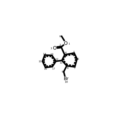 COC(=O)c1cccc(CBr)c1-c1ccccc1